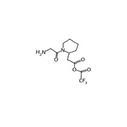 NCC(=O)N1CCCCC1CC(=O)OC(=O)C(F)(F)F